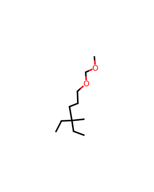 CCC(C)(CC)CCCOCOC